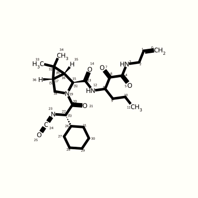 C=CCNC(=O)C(=O)C(CCC)NC(=O)[C@@H]1[C@@H]2[C@H](CN1C(=O)[C@@H](N=C=O)C1CCCCC1)C2(C)C